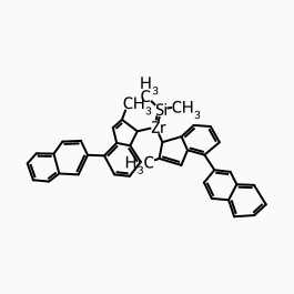 CC1=Cc2c(-c3ccc4ccccc4c3)cccc2[CH]1[Zr]([CH]1C(C)=Cc2c(-c3ccc4ccccc4c3)cccc21)=[Si](C)C